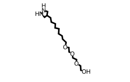 OCCOCCOCCOCCCCCCCCCC1CNNC1